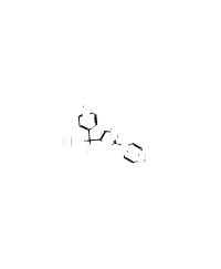 CCC(O)(c1ccncc1)c1cnc(N2C=CNC=C2)s1